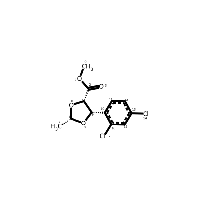 COC(=O)[C@H]1O[C@@H](C)O[C@H]1c1ccc(Cl)cc1Cl